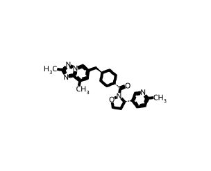 Cc1ccc([C@@H]2CCON2C(=O)[C@H]2CC[C@H](Cc3cc(C)c4nc(C)nn4c3)CC2)cn1